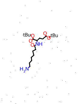 CC(C)(C)OC(=O)CCC(NC(=O)CCCCCCCN)C(=O)OC(C)(C)C